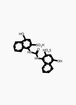 O=C(Nc1c(S(=O)(=O)O)cc(O)c2ccccc12)Nc1c(S(=O)(=O)O)cc(O)c2ccccc12